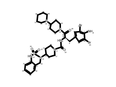 Nc1c(Br)cc(C[C@@H](NC(=O)N2CCC(N3Cc4ccccc4NS3(=O)=O)CC2)C(=O)N2CCC(N3CCCCC3)CC2)cc1Br